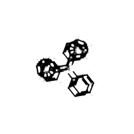 c1ccc(P(c2ccccc2)[C]23[CH]4[CH]5[CH]6[CH]2[Fe]56432789[CH]3[CH]2[CH]7[C]8(C[C]24[CH]5[CH]6[CH]7[CH]2[Fe]675428%10%11[CH]4[CH]2[CH]8[C]%10(P(c2ccccc2)c2ccccc2)[CH]4%11)[CH]39)cc1